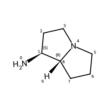 N[C@H]1CCN2CCC[C@H]12